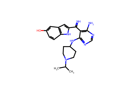 CC(C)N1CCC(Nc2ncnc(N)c2C(=N)c2cc3cc(O)ccc3[nH]2)CC1